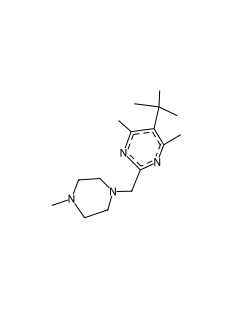 Cc1nc(CN2CCN(C)CC2)nc(C)c1C(C)(C)C